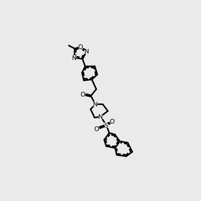 Cc1nc(-c2ccc(CC(=O)N3CCN(S(=O)(=O)c4ccc5ccccc5c4)CC3)cc2)no1